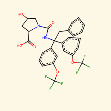 O=C(O)C1CC(O)CN1C(=O)NC(Cc1ccccc1)(c1cccc(OC(F)(F)F)c1)c1cccc(OC(F)(F)F)c1